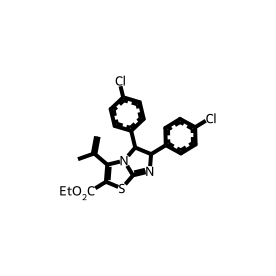 C=C(C)C1=C(C(=O)OCC)SC2=NC(c3ccc(Cl)cc3)C(c3ccc(Cl)cc3)N21